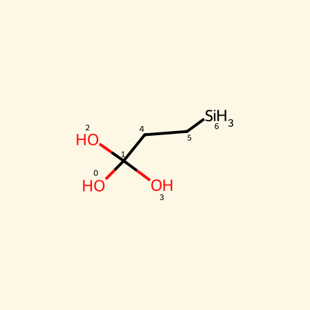 OC(O)(O)CC[SiH3]